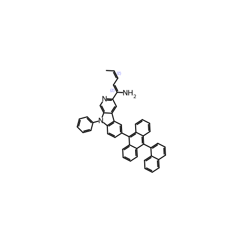 C/C=C\C=C(/N)c1cc2c3cc(-c4c5ccccc5c(-c5cccc6ccccc56)c5ccccc45)ccc3n(-c3ccccc3)c2cn1